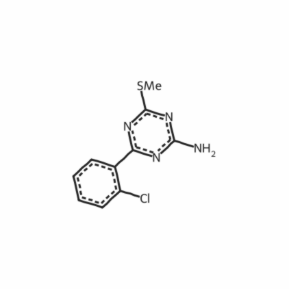 CSc1nc(N)nc(-c2ccccc2Cl)n1